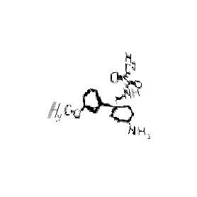 COc1cccc([C@]2(CNS(C)(=O)=O)CC[C@@H](N)CC2)c1